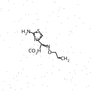 C=CCON=C(C(=O)O)c1csc(N)n1